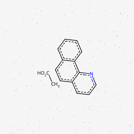 CC(=O)O.c1ccc2c(c1)ccc1cccnc12